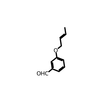 CC=CCOc1cccc(C=O)c1